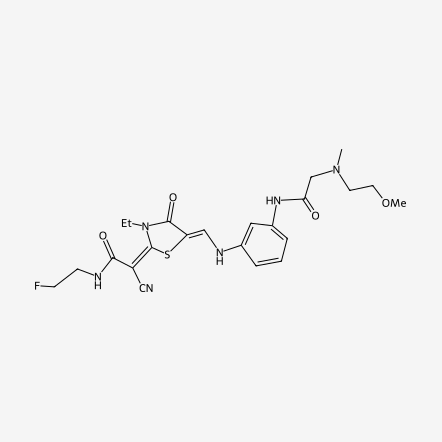 CCn1c(=C(C#N)C(=O)NCCF)sc(=CNc2cccc(NC(=O)CN(C)CCOC)c2)c1=O